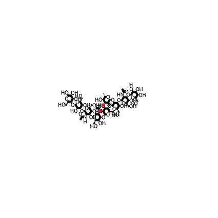 CC(=O)N[C@H]1[C@H](O[C@H]2[C@@H](O)[C@@H](CO)O[C@@H](O[C@H]3[C@H](O)[C@@H](O)[C@H](O)O[C@@H]3CO)[C@@H]2O)O[C@H](CO)[C@@H](O[C@@H]2O[C@H](CO)[C@H](O)[C@H](O[C@@H]3O[C@H](CO)[C@@H](O[C@@H]4O[C@H](CO)[C@H](O)[C@H](O[C@H]5O[C@H](CO)[C@H](O)[C@H](O[C@@H]6O[C@H](CO)[C@H](O)[C@H](O)[C@H]6O)[C@H]5NC(C)=O)[C@H]4O[C@@H]4O[C@@H](C)[C@@H](O)[C@@H](O)[C@@H]4O)[C@H](O)[C@H]3NC(C)=O)[C@H]2O)[C@@H]1O